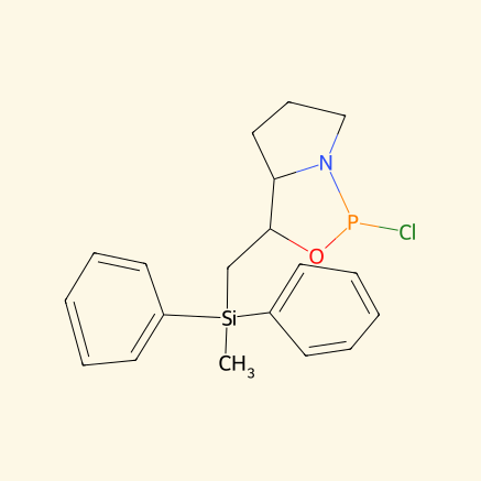 C[Si](CC1OP(Cl)N2CCCC12)(c1ccccc1)c1ccccc1